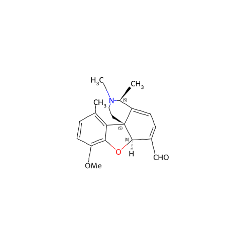 COc1ccc(C)c2c1O[C@@H]1C(C=O)=CC=C3[C@H](C)N(C)CC[C@]321